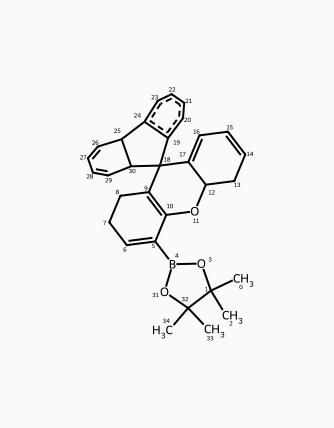 CC1(C)OB(C2=CCCC3=C2OC2CC=CC=C2C32c3ccccc3C3C=CC=CC32)OC1(C)C